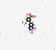 O=c1[nH]ccc2cc(-c3cc(B(O)O)ccc3C(F)(F)F)ccc12